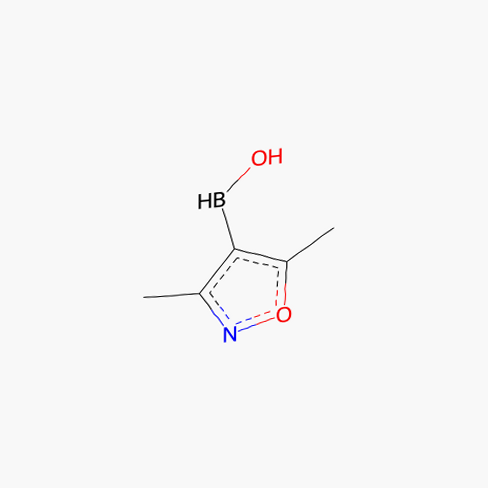 Cc1noc(C)c1BO